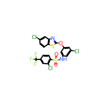 O=S(=O)(Nc1cc(Cl)cc(Oc2nc3cc(Cl)ccc3s2)c1)c1ccc(C(F)(F)F)cc1Cl